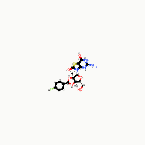 Nc1nc2c(sc(=O)n2[C@@H]2O[C@H](CO)[C@H]3OC(c4ccc(F)cc4)O[C@H]32)c(=O)[nH]1